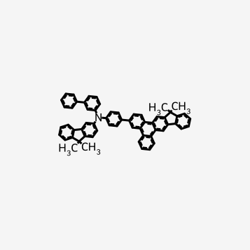 CC1(C)c2ccccc2-c2cc(N(c3ccc(-c4ccc5c(c4)c4ccccc4c4cc6c(cc54)C(C)(C)c4ccccc4-6)cc3)c3cccc(-c4ccccc4)c3)ccc21